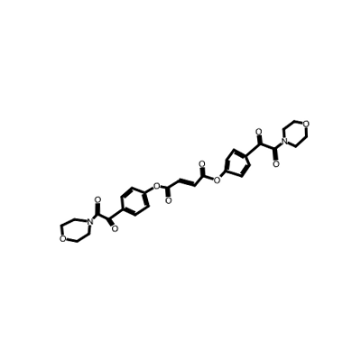 O=C(/C=C/C(=O)Oc1ccc(C(=O)C(=O)N2CCOCC2)cc1)Oc1ccc(C(=O)C(=O)N2CCOCC2)cc1